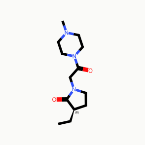 CC[C@@H]1CCN(CC(=O)N2CCN(C)CC2)C1=O